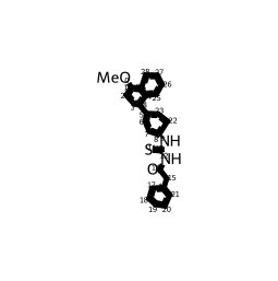 COc1ccc(-c2ccc(NC(=S)NC(=O)Cc3ccccc3)cc2)c2ccccc12